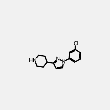 Clc1cccc(-n2ccc(C3CCNCC3)n2)c1